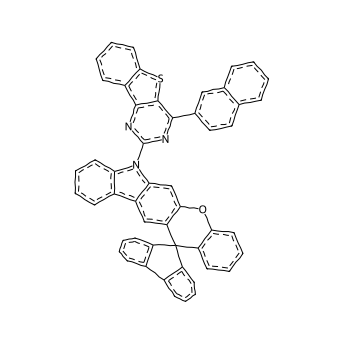 c1ccc2c(c1)Oc1cc3c(cc1C21c2ccccc2-c2ccccc21)c1ccccc1n3-c1nc(-c2ccc3ccccc3c2)c2sc3ccccc3c2n1